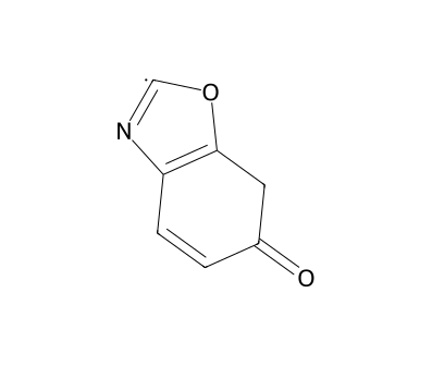 O=C1C=Cc2n[c]oc2C1